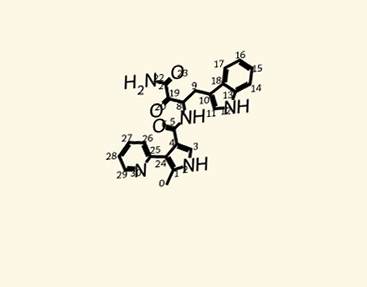 Cc1[nH]cc(C(=O)NC(Cc2c[nH]c3ccccc23)C(=O)C(N)=O)c1-c1ccccn1